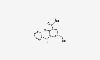 CNC(=O)c1cc(CO)cn([C@H](C)c2ccccc2)c1=O